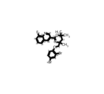 CC1(COc2ccc(Br)cc2Br)CC(C)(C)OC(c2cnc3c(F)cccc3c2)=N1